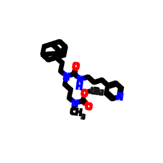 CN(CCCN(CCC12CC3CC(CC(C3)C1)C2)C(=O)NCCCc1ccncc1)C(=O)OC(C)(C)C